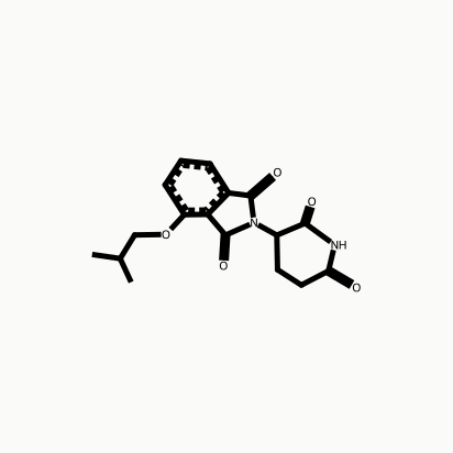 CC(C)COc1cccc2c1C(=O)N(C1CCC(=O)NC1=O)C2=O